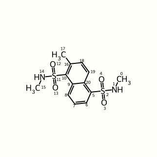 CNS(=O)(=O)c1cccc2c(S(=O)(=O)NC)c(C)ccc12